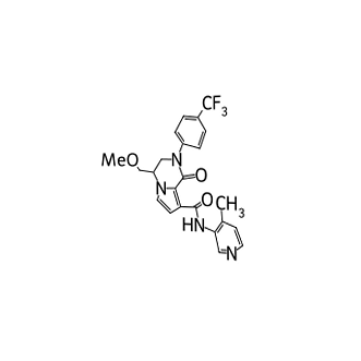 COCC1CN(c2ccc(C(F)(F)F)cc2)C(=O)c2c(C(=O)Nc3cnccc3C)ccn21